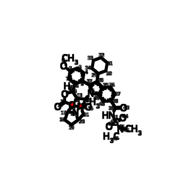 COc1ccc2c(c1)[C@@H]1OC(=O)O[C@]1(C(=O)N1C3CCC1CN(C)C3)Cn1c-2c(C2CCCCC2)c2ccc(C(=O)NS(=O)(=O)N(C)C)cc21